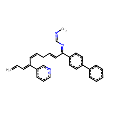 C=C/C=C(\C=C/C/C=C/C(=N\C=N/C)c1ccc(-c2ccccc2)cc1)c1cccnc1